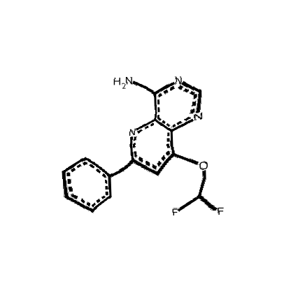 Nc1ncnc2c(OC(F)F)cc(-c3ccccc3)nc12